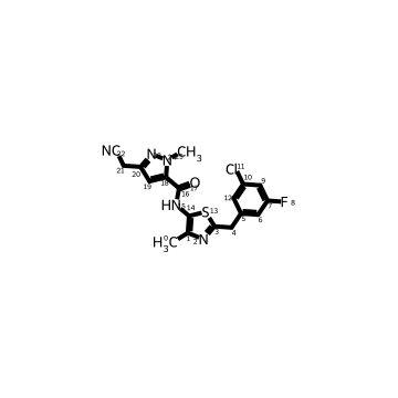 Cc1nc(Cc2cc(F)cc(Cl)c2)sc1NC(=O)c1cc(CC#N)nn1C